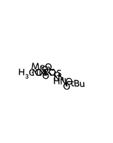 COc1cc2sc(CNC(=O)OC(C)(C)C)nc2cc1S(=O)(=O)N1CCN(C)CC1